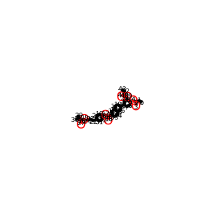 C=CC(=O)Oc1ccc(-c2ccc3cc(C(=O)Oc4ccc(CCCOC(=O)C(=C)C)cc4)ccc3c2)cc1OC(=O)C=C